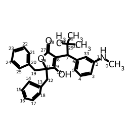 CNc1cccc(C(C2=C(O)C(Cc3ccccc3)(Cc3ccccc3)OC2=O)C(C)(C)C)c1